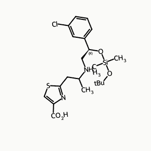 CC(Cc1nc(C(=O)O)cs1)NC[C@H](O[Si](C)(C)OC(C)(C)C)c1cccc(Cl)c1